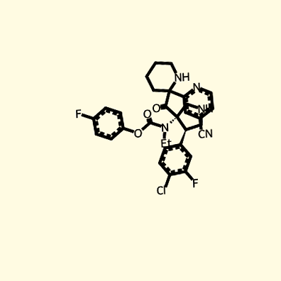 CCN(C(=O)Oc1ccc(F)cc1)[C@]1(C(=O)C2(c3cc(C#N)ccn3)CCCCN2)CNC[C@H]1c1ccc(Cl)c(F)c1